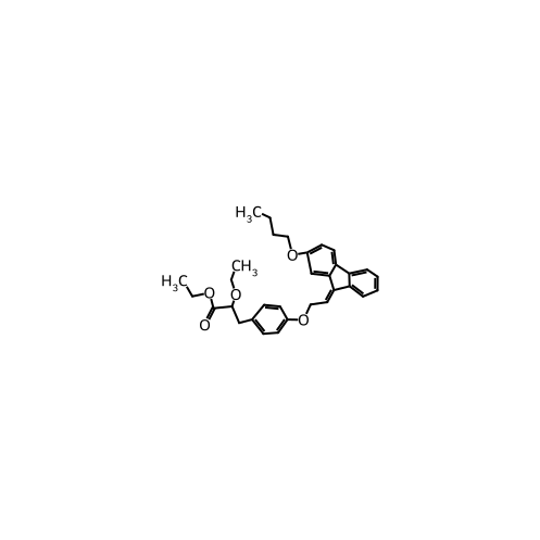 CCCCOc1ccc2c(c1)C(=CCOc1ccc(CC(OCC)C(=O)OCC)cc1)c1ccccc1-2